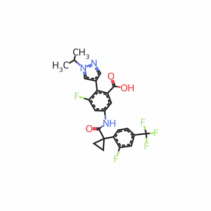 CC(C)n1cc(-c2c(F)cc(NC(=O)C3(c4ccc(C(F)(F)F)cc4F)CC3)cc2C(=O)O)cn1